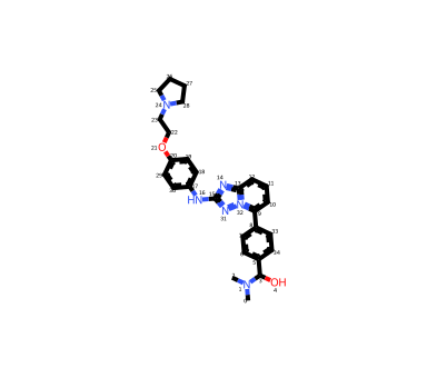 CN(C)C(O)c1ccc(-c2cccc3nc(Nc4ccc(OCCN5CCCC5)cc4)nn23)cc1